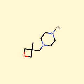 CC1(CN2CCN(C(C)(C)C)CC2)COC1